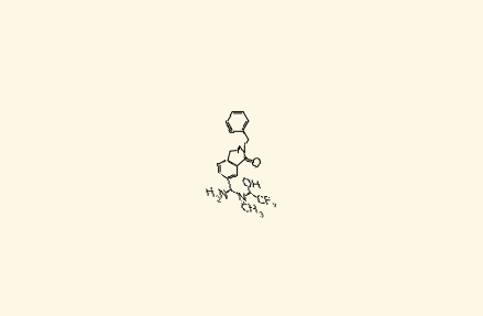 CN(C(N)c1ccc2c(c1)C(=O)N(Cc1ccccc1)C2)C(O)C(F)(F)F